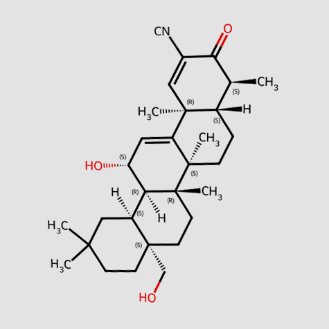 [C-]#[N+]C1=C[C@]2(C)C3=C[C@@H](O)[C@@H]4[C@@H]5CC(C)(C)CC[C@]5(CO)CC[C@@]4(C)[C@]3(C)CC[C@H]2[C@H](C)C1=O